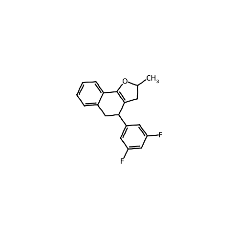 CC1CC2=C(O1)c1ccccc1CC2c1cc(F)cc(F)c1